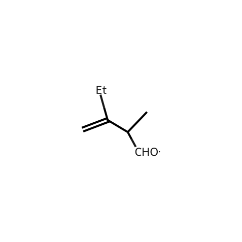 C=C(CC)C(C)[C]=O